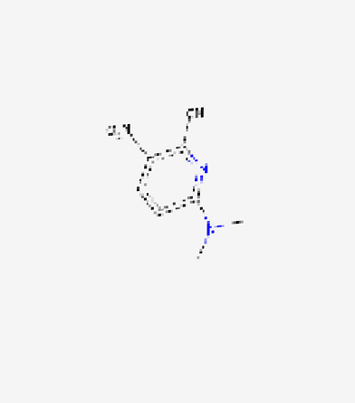 CN(C)c1ccc([N+](=O)[O-])c(C#N)n1